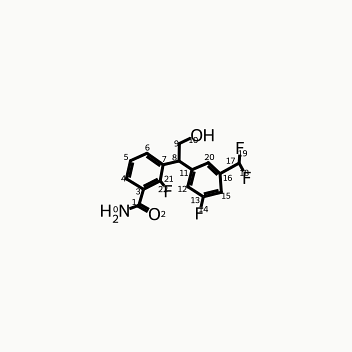 NC(=O)c1cccc(C(CO)c2cc(F)cc(C(F)F)c2)c1F